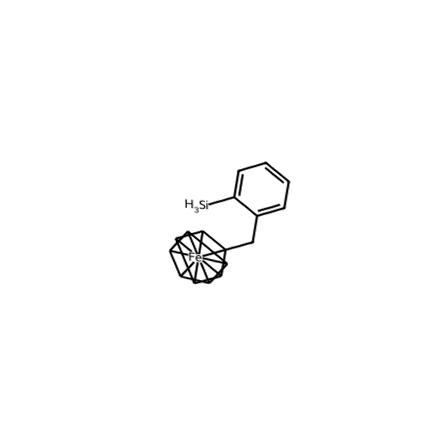 [SiH3]c1ccccc1C[C]12[CH]3[CH]4[CH]5[CH]1[Fe]45321678[CH]2[CH]1[CH]6[CH]7[CH]28